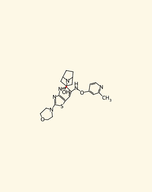 Cc1cc(ONc2cc3sc(N4CCOCC4)nc3nc2N2C3CCC2CC(O)C3)ccn1